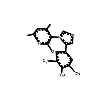 Cc1cc(C)c(-n2cncc2-c2cc(O)c(O)c([N+](=O)[O-])c2)c(Cl)n1